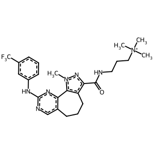 Cn1nc(C(=O)NCCC[N+](C)(C)C)c2c1-c1nc(Nc3cccc(C(F)(F)F)c3)ncc1CCC2